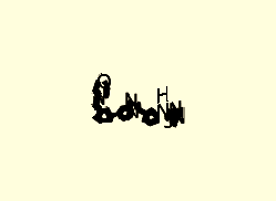 c1cc(CN2CCOCC2)cc(-c2ccn3c(-c4cccc(Nc5nncs5)c4)cnc3c2)c1